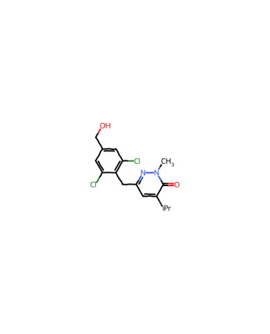 CC(C)c1cc(Cc2c(Cl)cc(CO)cc2Cl)nn(C)c1=O